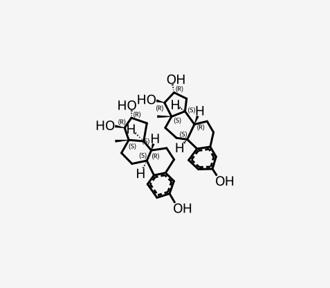 C[C@]12CC[C@@H]3c4ccc(O)cc4CC[C@H]3[C@@H]1C[C@@H](O)[C@@H]2O.C[C@]12CC[C@@H]3c4ccc(O)cc4CC[C@H]3[C@@H]1C[C@@H](O)[C@@H]2O